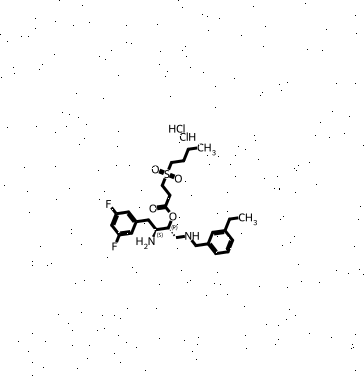 CCCCS(=O)(=O)CCC(=O)O[C@H](CNCc1cccc(CC)c1)[C@@H](N)Cc1cc(F)cc(F)c1.Cl.Cl